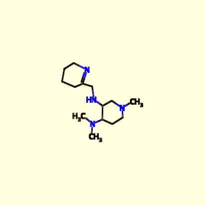 CN1CCC(N(C)C)C(NCC2=NCCCC2)C1